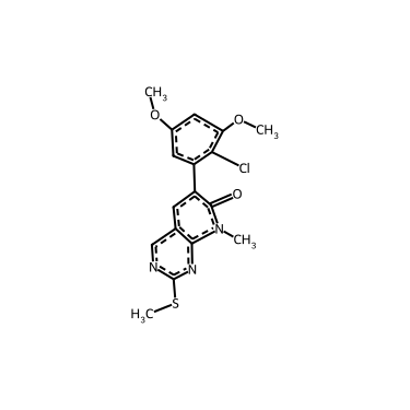 COc1cc(OC)c(Cl)c(-c2cc3cnc(SC)nc3n(C)c2=O)c1